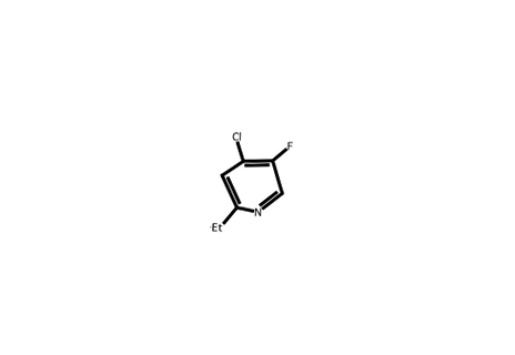 C[CH]c1cc(Cl)c(F)cn1